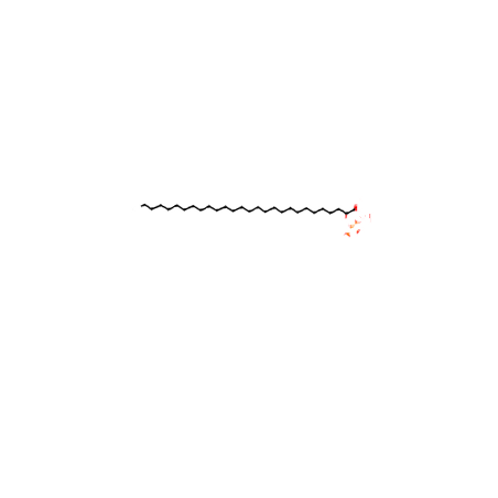 CCCCCCCCCCCCCCCCCCCCCCCCCCC(OP(=O)(O)O)C(=O)O